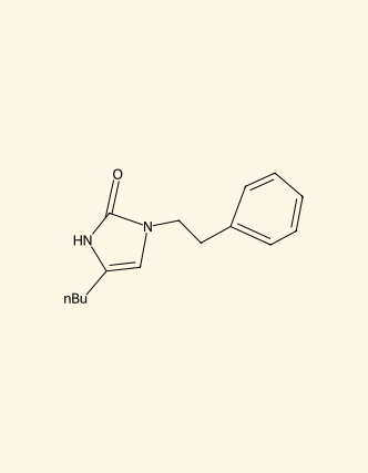 CCCCc1cn(CCc2ccccc2)c(=O)[nH]1